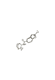 O=C(NC1C2CCN(CC2)C12CC2)c1ccc2oc(C3CC3)cc2c1